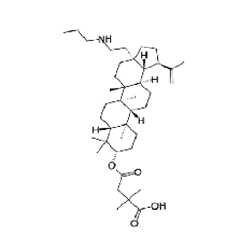 C=C(C)[C@@H]1CC[C@]2(CCNCCC)CC[C@]3(C)[C@H](CC[C@@H]4[C@@]5(C)CC[C@H](OC(=O)CC(C)(C)C(=O)O)C(C)(C)[C@@H]5CC[C@]43C)[C@@H]12